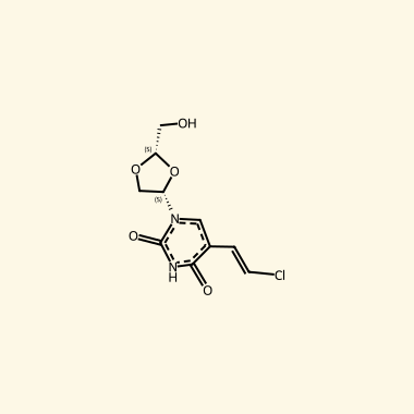 O=c1[nH]c(=O)n([C@@H]2CO[C@H](CO)O2)cc1C=CCl